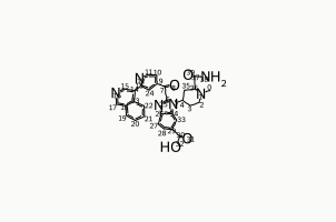 CN1CCC(n2c(C(=O)c3ccnc(-c4cncc5ccccc45)c3)nc3ccc(C(=O)O)cc32)CC1C(N)=O